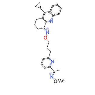 CO/N=C(\C)c1cccc(CCCO/N=C2\CCCc3c2nc2ccccc2c3C2CC2)n1